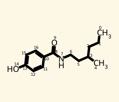 CCCC(C)CCNC(=O)c1ccc(O)cc1